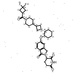 O=C1CCC(N2Cc3cc(O[C@@H]4CCCC[C@H]4N4CC(C5CCN(C(=O)C6CC(F)(F)C6)CC5)C4)ccc3C2=O)C(=O)N1